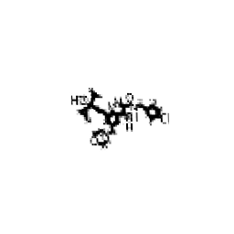 O=C(NCc1ccc(Cl)cc1)c1nnc2c(C#CC(O)(C3CC3)C3CC3)cc(CN3CCOCC3)cc2c1O